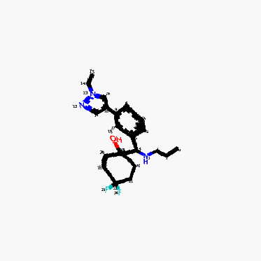 C=CCNC(c1cccc(-c2cnn(CC)c2)c1)C1(O)CCC(F)(F)CC1